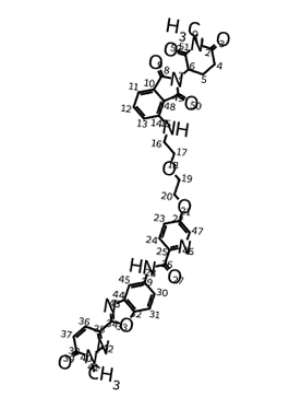 CN1C(=O)CCC(N2C(=O)c3cccc(NCCOCCOc4ccc(C(=O)Nc5ccc6oc(-c7ccc(=O)n(C)n7)nc6c5)nc4)c3C2=O)C1=O